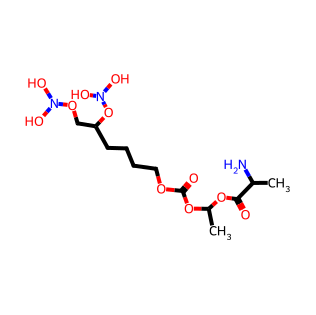 CC(OC(=O)OCCCCC(CON(O)O)ON(O)O)OC(=O)C(C)N